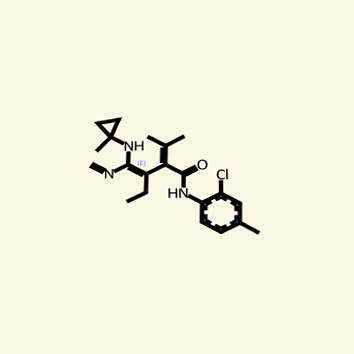 C=N/C(NC1(C)CC1)=C(\CC)C(C(=O)Nc1ccc(C)cc1Cl)=C(C)C